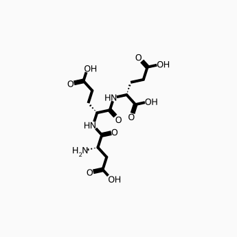 N[C@@H](CC(=O)O)C(=O)N[C@H](CCC(=O)O)C(=O)N[C@H](CCC(=O)O)C(=O)O